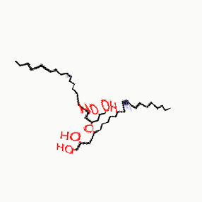 CCCCCCCC/C=C\CCCCCCCC(CC(O)CO)OC(CCCCCCC/C=C\CCCCCCCC)CC(O)CO